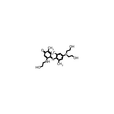 CC1=CC(=Nc2c(C)cc(N(CCO)CCO)cc2C)C(NCCO)=CC1=O